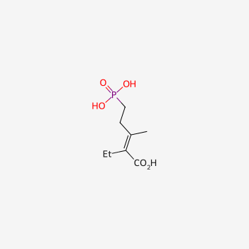 CCC(C(=O)O)=C(C)CCP(=O)(O)O